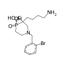 NCCCCC1(C(=O)O)CN(Cc2ccccc2Br)CCP1(=O)O